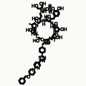 C[C@@H](O)[C@@H]1NC(=O)[C@@H](NC[C@H]2CC[C@H](c3nnc(-c4ccc(N5CCC(OCC6CCCCC6)CC5)nc4)s3)CC2)C[C@@H](O)CNC(=O)[C@@H]2[C@@H](O)[C@@H](C)CN2C(=O)[C@H]([C@H](O)CCNC(CO)CO)NC(=O)[C@H]([C@H](O)Cc2ccc(O)c(OS(=O)(=O)O)c2)NC(=O)[C@@H]2C[C@@H](O)CN2C1=O